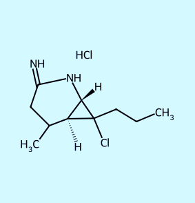 CCCC1(Cl)[C@H]2NC(=N)CC(C)[C@@H]21.Cl